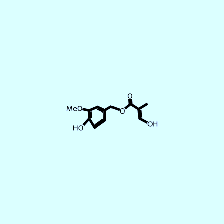 COc1cc(COC(=O)C(C)=CO)ccc1O